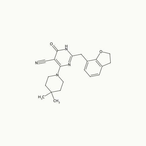 CC1(C)CCN(c2nc(Cc3cccc4c3OCC4)[nH]c(=O)c2C#N)CC1